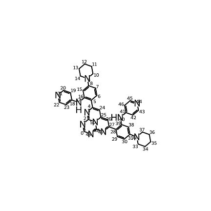 C1=NC2=NC(c3ccc(N4CCCCC4)cc3Nc3ccncc3)=CC3=CC(c4ccc(N5CCCCC5)cc4Nc4ccncc4)=NC(=N1)N32